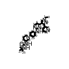 CCn1cc(-c2ccnc(Nc3ccc(N4CCC[C@H](NC(=O)NC(C)(C)C)C4)cc3)n2)c(-c2cccnc2)n1